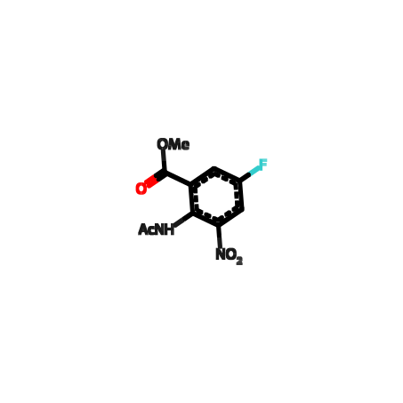 COC(=O)c1cc(F)cc([N+](=O)[O-])c1NC(C)=O